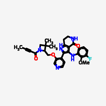 CC#CC(=O)N1CC(C)(C)C1COc1cnccc1-c1[nH]c2c(c1Nc1cccc(F)c1OC)C(=O)NCC2